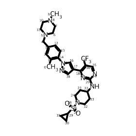 Cc1cc(CN2CCN(C)CC2)ccc1-n1cc(-c2nc(NC3CCN(S(=O)(=O)C4CC4)CC3)ncc2C(F)(F)F)cn1